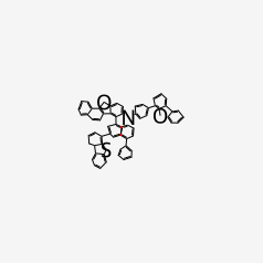 C1=CC(c2cccc(-c3c(N(c4ccc(-c5ccccc5)cc4)c4ccc(-c5cccc6c5oc5ccccc56)cc4)ccc4oc5c6ccccc6ccc5c34)c2)=C2Sc3ccccc3C2C1